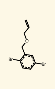 C=CCOCc1cc(Br)ccc1Br